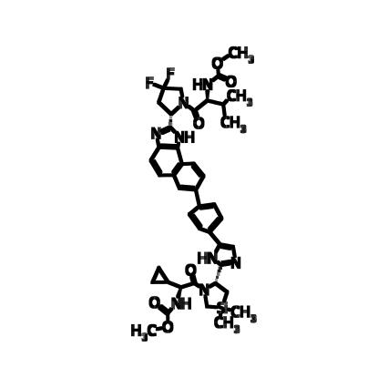 COC(=O)N[C@H](C(=O)N1CC(F)(F)C[C@H]1c1nc2ccc3cc(-c4ccc(-c5cnc([C@@H]6C[Si](C)(C)CN6C(=O)[C@@H](NC(=O)OC)C6CC6)[nH]5)cc4)ccc3c2[nH]1)C(C)C